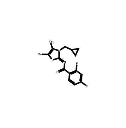 Cc1c(C(C)(C)C)s/c(=N\C(=O)c2ccc(Cl)cc2F)n1CC1CC1